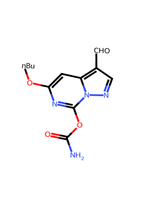 CCCCOc1cc2c(C=O)cnn2c(OC(N)=O)n1